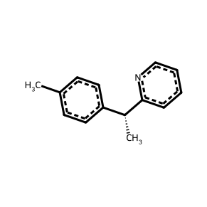 Cc1ccc([C@@H](C)c2ccccn2)cc1